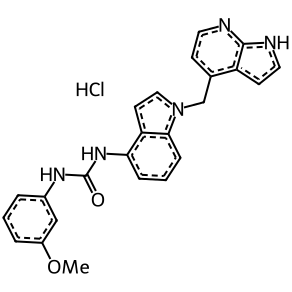 COc1cccc(NC(=O)Nc2cccc3c2ccn3Cc2ccnc3[nH]ccc23)c1.Cl